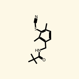 Cc1ccc(CNC(=O)C(C)(C)C)c(C)c1SC#N